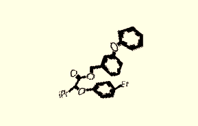 CCc1ccc(OC(C(=O)OCc2cccc(Oc3ccccc3)c2)C(C)C)cc1